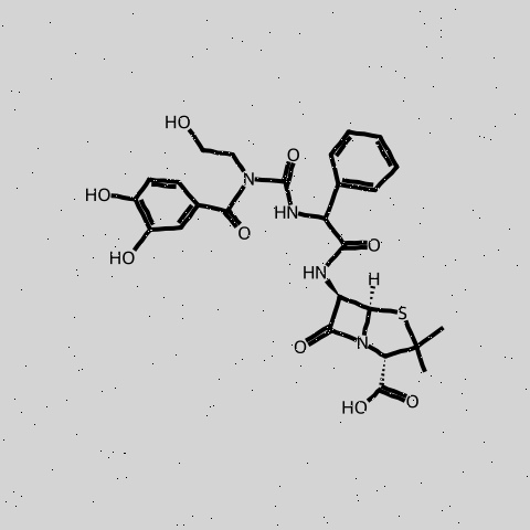 CC1(C)S[C@@H]2[C@H](NC(=O)C(NC(=O)N(CCO)C(=O)c3ccc(O)c(O)c3)c3ccccc3)C(=O)N2[C@H]1C(=O)O